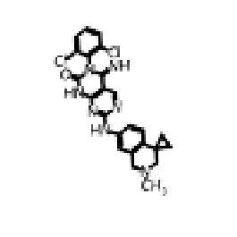 CN1Cc2cc(Nc3ncc4c(=N)n(-c5c(Cl)cccc5Cl)c(=O)[nH]c4n3)ccc2C2(CC2)C1